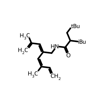 C=C/C(C)=C\C(=C/C(=C)C)CNC(=O)C(CC(C)(C)C)C(C)CC